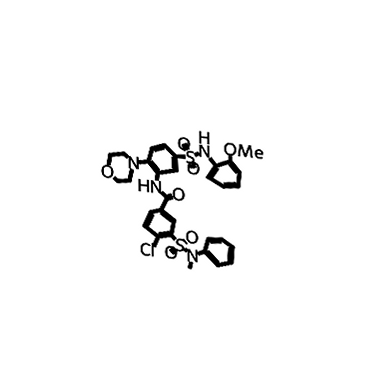 COc1ccccc1NS(=O)(=O)c1ccc(N2CCOCC2)c(NC(=O)c2ccc(Cl)c(S(=O)(=O)N(C)c3ccccc3)c2)c1